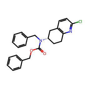 O=C(OCc1ccccc1)N(Cc1ccccc1)[C@H]1CCc2nc(Cl)ccc2C1